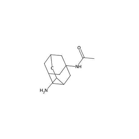 CC(=O)NC12CC3CC(CC(C1)C(N)C3)C2